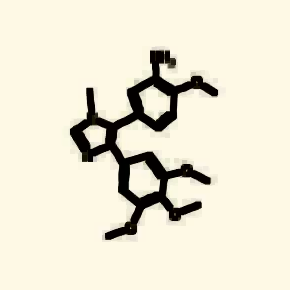 COc1ccc(-c2c(-c3cc(OC)c(OC)c(OC)c3)ncn2C)cc1N